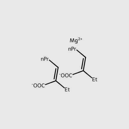 CCCC=C(CC)C(=O)[O-].CCCC=C(CC)C(=O)[O-].[Mg+2]